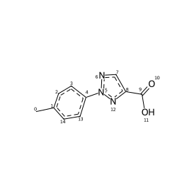 Cc1ccc(-n2ncc(C(=O)O)n2)cc1